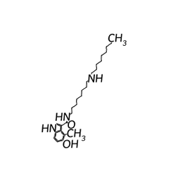 CCCCCCCCCNCCCCCCCCNC(=O)c1c[nH]c2ccc(O)c(C)c12